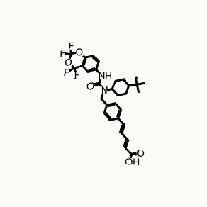 CC(C)(C)C1CCC(N(Cc2ccc(C=CC=CC(=O)O)cc2)C(=O)Nc2ccc3c(c2)C(F)(F)OC(F)(F)O3)CC1